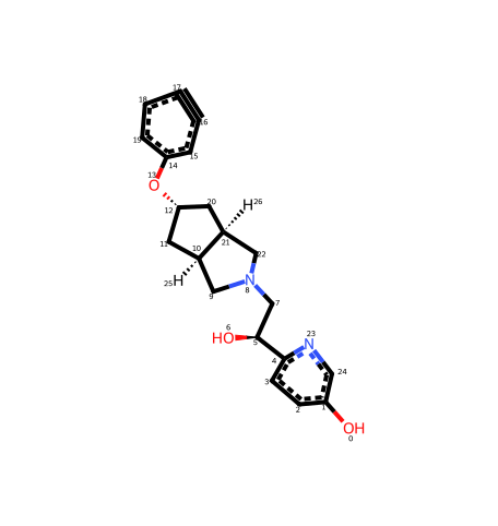 Oc1ccc([C@@H](O)CN2C[C@H]3C[C@H](Oc4cc#ccc4)C[C@H]3C2)nc1